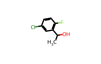 CC(O)c1cc(Cl)ccc1F